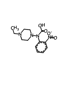 CCN1CCN(N(C(=O)O)c2ccccc2[N+](=O)[O-])CC1